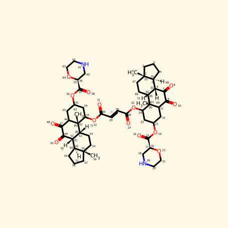 C[C@@]12CCC[C@H]1[C@@H]1C(=O)C(=O)C3CC(OC(=O)[C@@H]4CNCCO4)CC(OC(=O)/C=C/C(=O)OC4CC(OC(=O)[C@@H]5CNCCO5)CC5C(=O)C(=O)[C@@H]6[C@@H](CC[C@]7(C)CCC[C@@H]67)[C@@]45C)[C@]3(C)[C@@H]1CC2